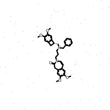 COc1cc2c(cc1OC)CC(=O)N(CCCN(Cc1ccccc1)C[C@@H]1Cc3cc(OC)c(OC)cc31)C=C2